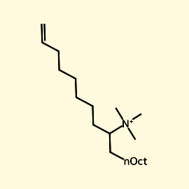 C=CCCCCCCC(CCCCCCCCC)[N+](C)(C)C